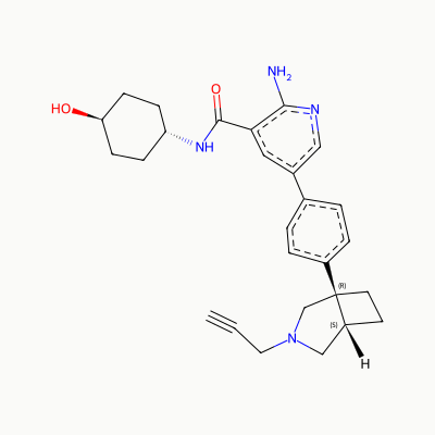 C#CCN1C[C@H]2CC[C@@]2(c2ccc(-c3cnc(N)c(C(=O)N[C@H]4CC[C@H](O)CC4)c3)cc2)C1